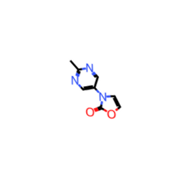 Cc1ncc(-n2ccoc2=O)cn1